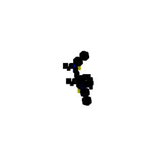 CC1=C(/C=C/C=C2\Sc3cc(-c4ccccc4)ccc3N2C)CC(C)(C)C/C1=C\c1sc2cc(-c3ccccc3)ccc2[n+]1C